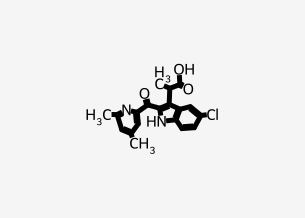 Cc1cc(C)nc(C(=O)c2[nH]c3ccc(Cl)cc3c2C(C)C(=O)O)c1